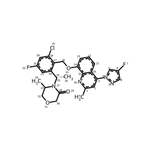 Cc1cc(-n2cc(F)cn2)c2cccc(OCc3c(Cl)cc(F)cc3[C@H](C)N3C(=O)COCC3C)c2n1